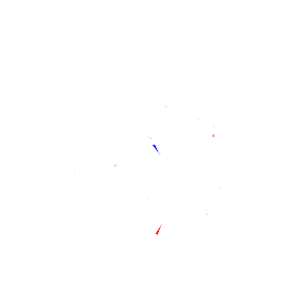 CCCC(O)N[C@H]1C(O)O[C@H](C)[C@@H](O)[C@@H]1OC(=O)CC